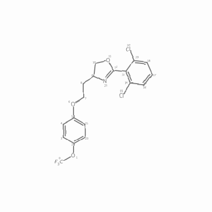 FC(F)(F)Oc1ccc(OCCC2COC(c3c(Cl)cccc3Cl)=N2)cc1